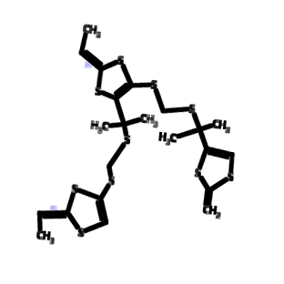 C=C1SC=C(C(C)(C)SCSC2=C(C(C)(C)SCSC3=CS/C(=C\C)S3)S/C(=C/C)S2)S1